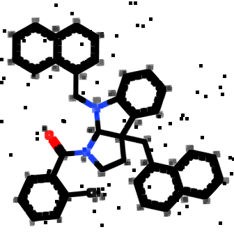 Cc1ccccc1C(=O)N1CCC2(Cc3cccc4ccccc34)c3ccccc3N(Cc3cccc4ccccc34)C12